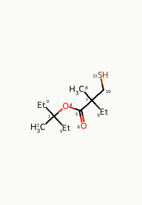 CCC(C)(CC)OC(=O)C(C)(CC)CS